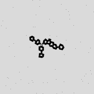 CC1(C)c2ccc(N(c3ccc(-c4ccccc4)cc3)c3ccc(-c4ccccc4)cc3)cc2-c2cc3ccc(-c4ccccc4)cc3cc21